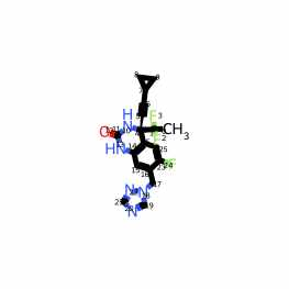 CC(F)(F)[C@@]1(C#CC2CC2)NC(=O)Nc2cc(Cn3cncn3)c(F)cc21